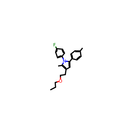 CCCOCCc1cc(-c2ccc(C)cc2)n(-c2ccc(F)cc2)c1C